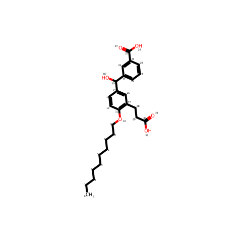 CCCCCCCCCCOc1ccc(C(O)c2cccc(C(=O)O)c2)cc1CCC(=O)O